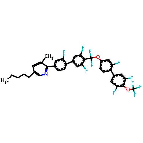 CCCCCC1=CN=C(c2ccc(-c3cc(F)c(C(F)(F)Oc4ccc(-c5cc(F)c(OC(F)(F)F)c(F)c5)c(F)c4)c(F)c3)c(F)c2)C(C)=C=C1